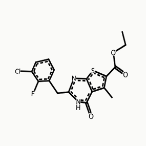 CCOC(=O)c1sc2nc(Cc3cccc(Cl)c3F)[nH]c(=O)c2c1C